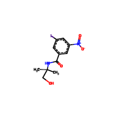 CC(C)(CO)NC(=O)c1cc(I)cc([N+](=O)[O-])c1